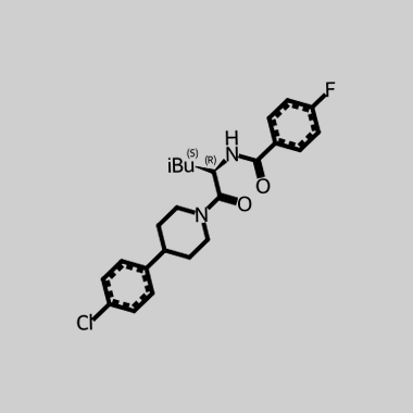 CC[C@H](C)[C@@H](NC(=O)c1ccc(F)cc1)C(=O)N1CCC(c2ccc(Cl)cc2)CC1